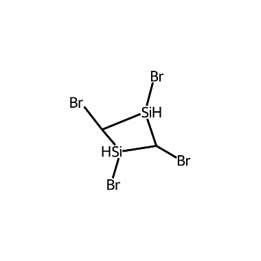 BrC1[SiH](Br)C(Br)[SiH]1Br